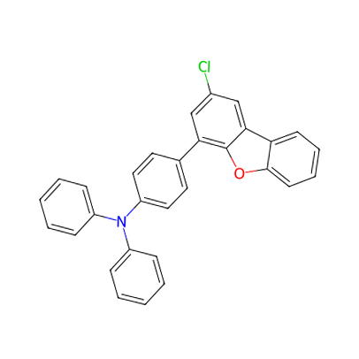 Clc1cc(-c2ccc(N(c3ccccc3)c3ccccc3)cc2)c2oc3ccccc3c2c1